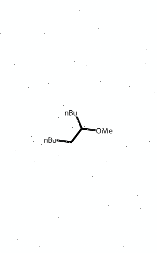 [CH2]OC(CCCC)CCCCC